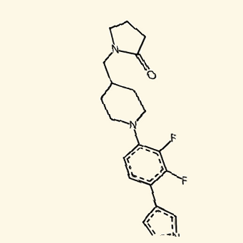 O=C1CCCN1CC1CCN(c2ccc(-c3cnoc3)c(F)c2F)CC1